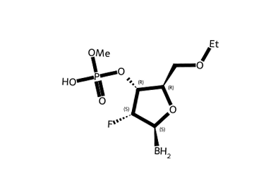 B[C@@H]1O[C@H](COCC)[C@@H](OP(=O)(O)OC)[C@H]1F